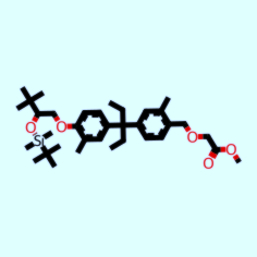 CCC(CC)(c1ccc(COCC(=O)OC)c(C)c1)c1ccc(OCC(O[Si](C)(C)C(C)(C)C)C(C)(C)C)c(C)c1